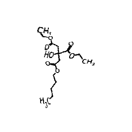 CCCCCOC(=O)CC(O)(CC(=O)OCC)C(=O)OCC